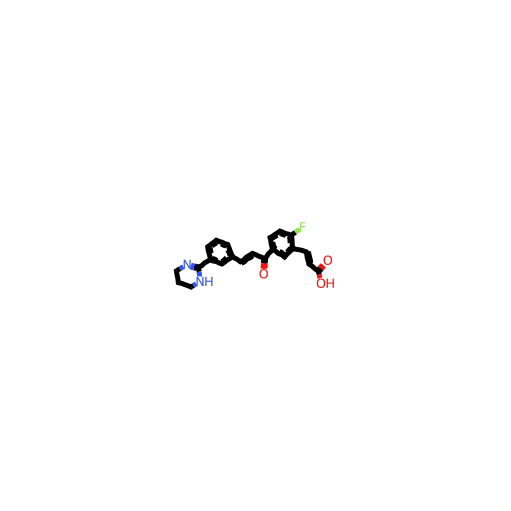 O=C(O)C=Cc1cc(C(=O)C=Cc2cccc(C3=NCCCN3)c2)ccc1F